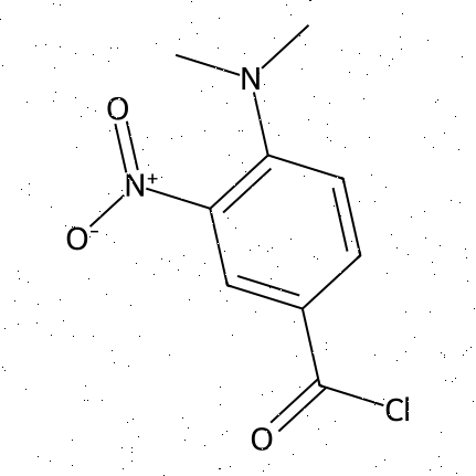 CN(C)c1ccc(C(=O)Cl)cc1[N+](=O)[O-]